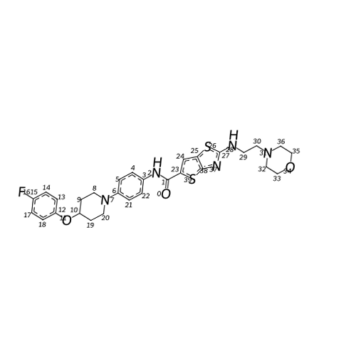 O=C(Nc1ccc(N2CCC(Oc3ccc(F)cc3)CC2)cc1)c1cc2sc(NCCN3CCOCC3)nc2s1